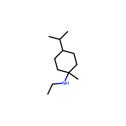 CCNC1(C)C[CH]C(C(C)C)CC1